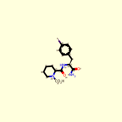 NC(=O)[C@H](Cc1ccc(I)cc1)NC(=O)C1CCCCN1C(=O)O